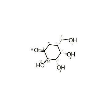 O=C1C[C@H](CO)[C@H](O)[C@H](O)[C@H]1O